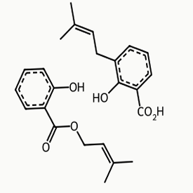 CC(C)=CCOC(=O)c1ccccc1O.CC(C)=CCc1cccc(C(=O)O)c1O